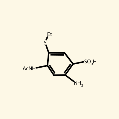 CCSc1cc(S(=O)(=O)O)c(N)cc1NC(C)=O